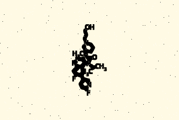 CC(C)n1c(=O)n(C2(C)CCCN(CCCO)C2)c2nnc3cc(F)c(-c4ccc(F)nc4)cc3c21